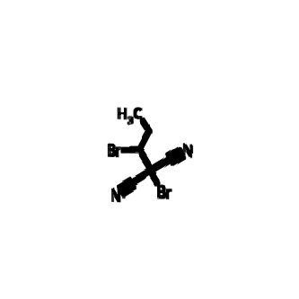 CCC(Br)C(Br)(C#N)C#N